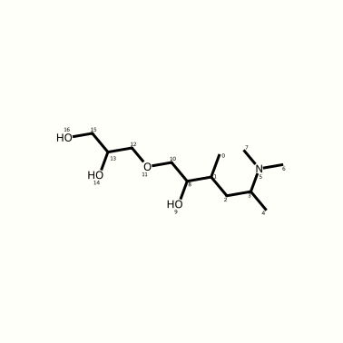 CC(CC(C)N(C)C)C(O)COCC(O)CO